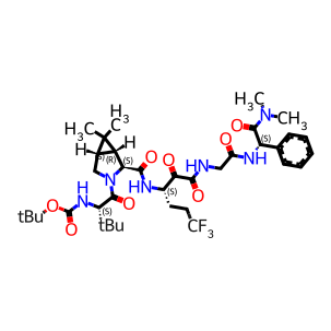 CN(C)C(=O)[C@@H](NC(=O)CNC(=O)C(=O)[C@H](CCC(F)(F)F)NC(=O)[C@@H]1[C@@H]2[C@H](CN1C(=O)[C@@H](NC(=O)OC(C)(C)C)C(C)(C)C)C2(C)C)c1ccccc1